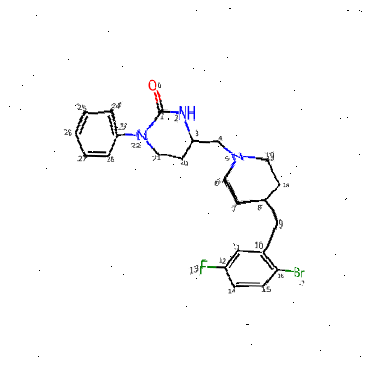 O=C1NC(CN2CCC(Cc3cc(F)ccc3Br)CC2)CCN1c1ccccc1